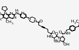 CC(=O)c1c(C)c2cnc(Nc3ccc(N4CCN(C(=O)CC#CCCC(=O)NC(C(=O)N5C[C@H](O)C[C@H]5C(=O)NCc5ccc(-c6scnc6C)cc5)C(C)(C)C)CC4)cn3)nc2n(C2CCCC2)c1=O